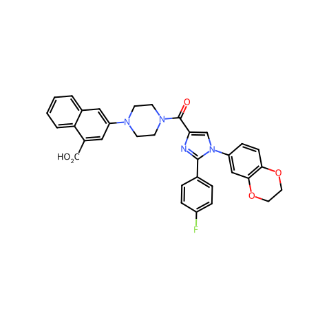 O=C(O)c1cc(N2CCN(C(=O)c3cn(-c4ccc5c(c4)OCCO5)c(-c4ccc(F)cc4)n3)CC2)cc2ccccc12